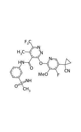 COc1c(Oc2nnc(C(F)(F)F)c(C)c2C(=O)Nc2cccc(S(C)(=N)=O)c2)ncc(C2(C#N)CC2)c1F